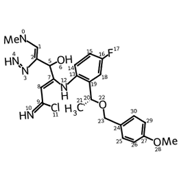 CN/C=C(\N=N)C(O)/C(=C/C(=N)Cl)Nc1ccc(F)cc1[C@@H](C)OCc1ccc(OC)cc1